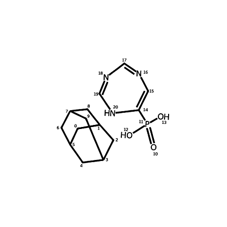 C1C2CC3CC1CC(C2)C3.O=P(O)(O)C1=CN=CN=CN1